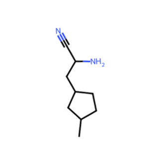 CC1CCC(CC(N)C#N)C1